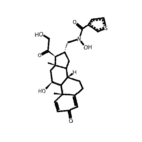 C[C@]12C=CC(=O)C=C1CC[C@@H]1C2[C@@H](O)C[C@@]2(C)C1C[C@@H](CN(O)C(=O)c1ccsc1)[C@@H]2C(=O)CO